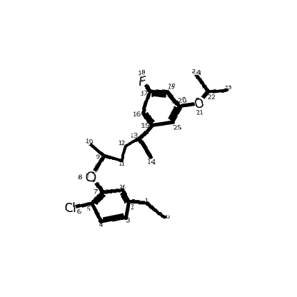 CCc1ccc(Cl)c(OC(C)CCC(C)c2cc(F)cc(OC(C)C)c2)c1